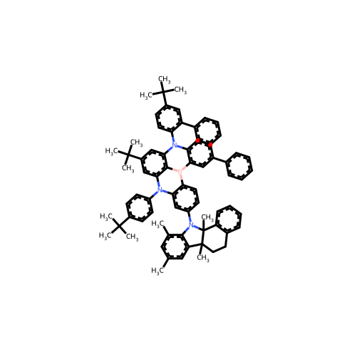 Cc1cc(C)c2c(c1)C1(C)CCc3ccccc3C1(C)N2c1ccc2c(c1)N(c1ccc(C(C)(C)C)cc1)c1cc(C(C)(C)C)cc3c1B2c1cc(-c2ccccc2)ccc1N3c1ccc(C(C)(C)C)cc1-c1ccccc1